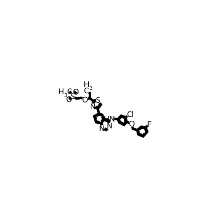 CCC(OCCS(C)(=O)=O)c1nc(-c2ccc3ncnc(Nc4ccc(OCc5cccc(F)c5)c(Cl)c4)c3c2)cs1